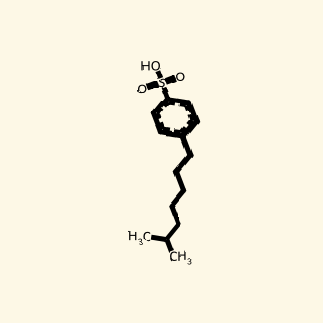 CC(C)CCCCCc1ccc(S(=O)(=O)O)cc1